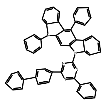 c1ccc(-c2ccc(-c3nc(-c4ccccc4)nc(-n4c5ccccc5c5c(-c6ccccc6)c6c7ccccc7n(-c7ccccc7)c6cc54)n3)cc2)cc1